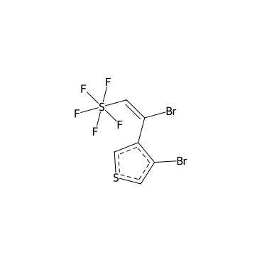 FS(F)(F)(F)(F)/C=C(/Br)c1cscc1Br